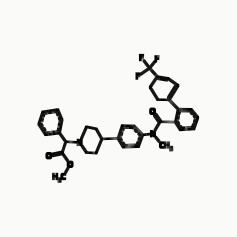 COC(=O)C(c1ccccc1)N1CCC(c2ccc(N(C)C(=O)c3ccccc3C3=CC=C(C(F)(F)F)CC3)cc2)CC1